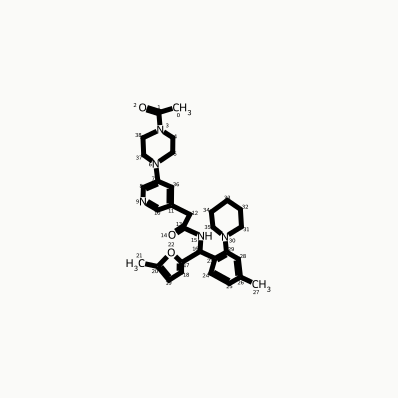 CC(=O)N1CCN(c2cncc(CC(=O)NC(c3ccc(C)o3)c3ccc(C)cc3N3CCCCC3)c2)CC1